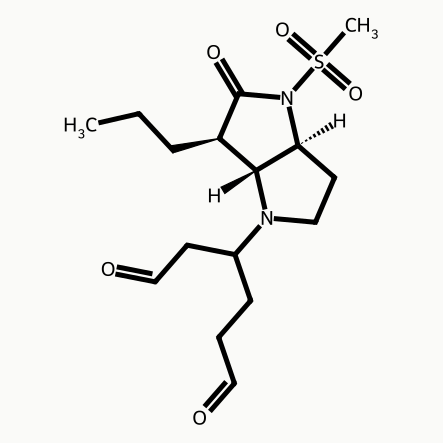 CCC[C@H]1C(=O)N(S(C)(=O)=O)[C@H]2CCN(C(CC=O)CCC=O)[C@H]12